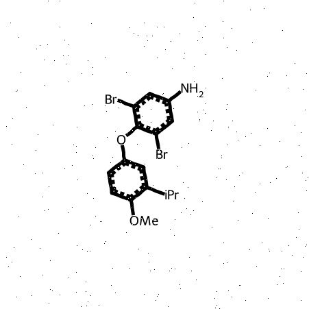 COc1ccc(Oc2c(Br)cc(N)cc2Br)cc1C(C)C